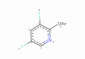 CSc1ncc(F)cc1F